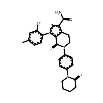 CCc1cc(F)ccc1-n1nc(C(N)=O)c2c1C(=O)N(c1ccc(N3CCCCC3=O)cc1)CC2